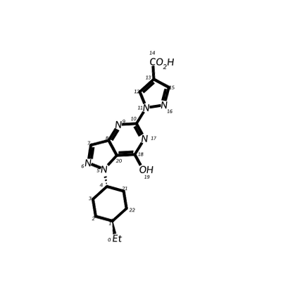 CC[C@H]1CC[C@H](n2ncc3nc(-n4cc(C(=O)O)cn4)nc(O)c32)CC1